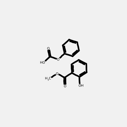 COC(=O)c1ccccc1O.O=C(O)Oc1ccccc1